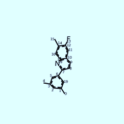 Cc1cc(C)cc(-c2ccc3cc(F)c(C)cc3n2)c1